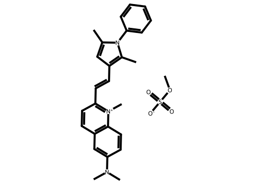 COS(=O)(=O)[O-].Cc1cc(C=Cc2ccc3cc(N(C)C)ccc3[n+]2C)c(C)n1-c1ccccc1